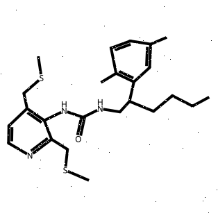 CCCCC(CNC(=O)Nc1c(CSC)ccnc1CSC)c1cc(C)ccc1C